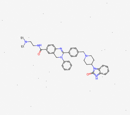 CCN(CC)CCNC(=O)c1ccc2c(c1)CN(c1ccccc1)C(c1ccc(CN3CCC(n4c(=O)[nH]c5ccccc54)CC3)cc1)=N2